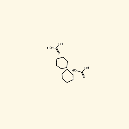 C1CCCCC1.C1CCCCC1.O=C(O)O.O=C(O)O